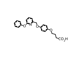 O=C(O)CCCOc1ccc(OCc2cccc(Oc3ccccc3)n2)cc1